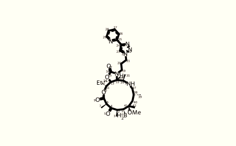 B[C@@H]1[C@@H](C)C(=O)[C@@H](C)C(=O)O[C@H](CC)[C@@]2(C)OC(=O)N(CCCn3cc(-c4ccccn4)nn3)[C@@H]2[C@@H](C)NC[C@H](C)C[C@@]1(C)OC